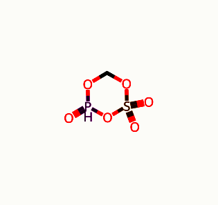 O=[PH]1OCOS(=O)(=O)O1